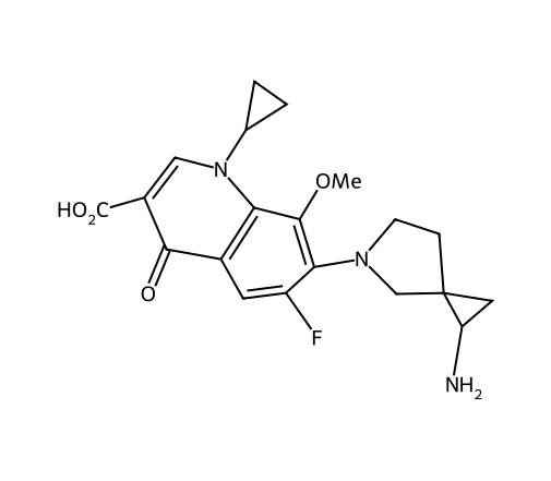 COc1c(N2CCC3(CC3N)C2)c(F)cc2c(=O)c(C(=O)O)cn(C3CC3)c12